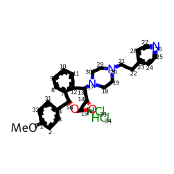 COc1ccc(C(=O)c2ccccc2C(C2CO2)N2CCN(CCc3ccncc3)CC2)cc1.Cl.Cl